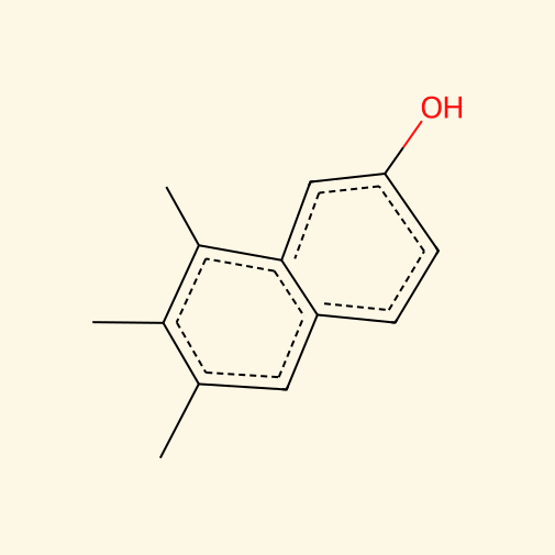 Cc1cc2ccc(O)cc2c(C)c1C